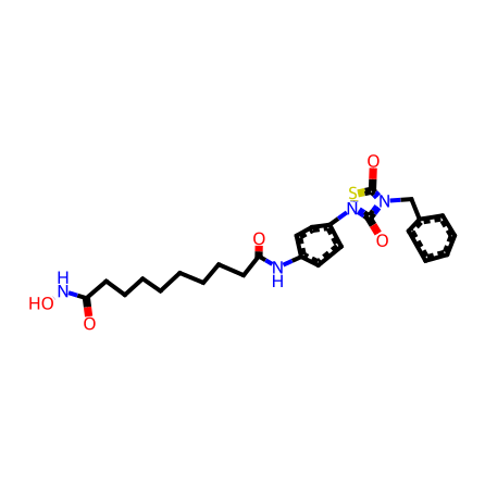 O=C(CCCCCCCCC(=O)Nc1ccc(-n2sc(=O)n(Cc3ccccc3)c2=O)cc1)NO